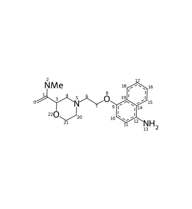 C=C(NC)C1CN(CCOc2ccc(N)c3ccccc23)CCO1